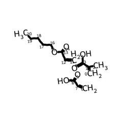 C=C(C)C(=O)O.C=CC(=O)O.C=CC(=O)OCCCCC